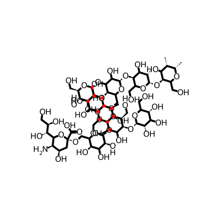 CC1C(O)[C@H](O[C@@H]2OC(CO)[C@H](O)C(O)[C@@H]2O)[C@H](CO)O[C@H]1O[C@@H]1C(O)[C@H](O)C(CO)O[C@@H]1OCC1O[C@@H](O[C@@H]2C(CO)O[C@@H](O[C@@H]3C(CO)O[C@@H](C)[C@@H](C)C3O)[C@@H](C)C2O)C(O)C(O[C@H]2O[C@H](CO)[C@@H](O)C(O)C2O[C@@H]2OC(CO)[C@@H](O[C@@H]3OC(CO[C@]4(C(=O)O)C[C@@H](O)[C@@H](N)C([C@H](O)[C@H](O)CO)O4)[C@H](O)C(O)[C@@H]3O)C(O)[C@@H]2C)[C@@H]1O